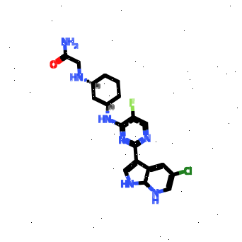 NC(=O)CN[C@@H]1CCC[C@H](Nc2nc(C3=CNC4NC=C(Cl)C=C34)ncc2F)C1